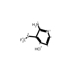 Cl.Nc1ncccc1SC(F)(F)F